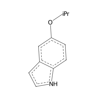 CC(C)Oc1ccc2[nH]ccc2c1